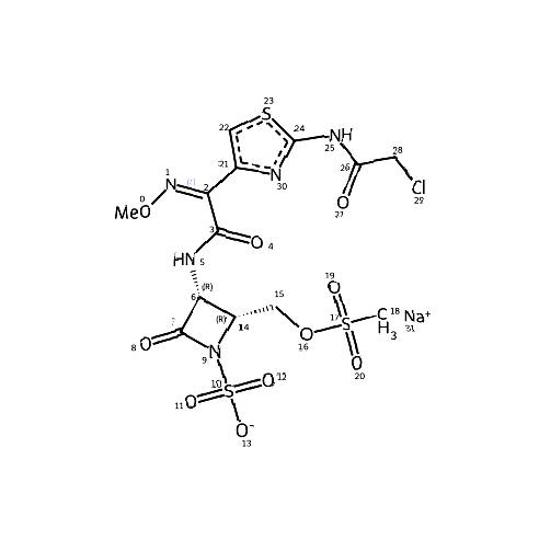 CO/N=C(\C(=O)N[C@H]1C(=O)N(S(=O)(=O)[O-])[C@H]1COS(C)(=O)=O)c1csc(NC(=O)CCl)n1.[Na+]